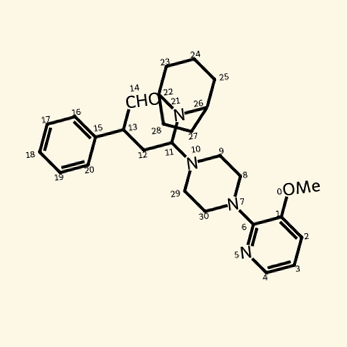 COc1cccnc1N1CCN(C(CC(C=O)c2ccccc2)N2C3CCCC2CC3)CC1